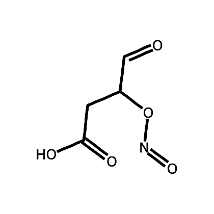 O=CC(CC(=O)O)ON=O